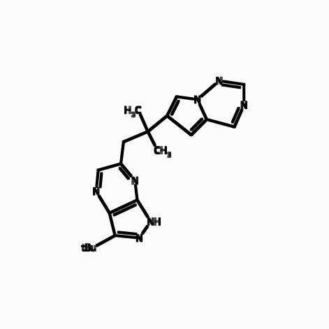 CC(C)(C)c1n[nH]c2nc(CC(C)(C)c3cc4cncnn4c3)cnc12